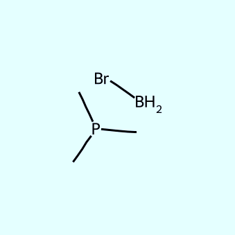 BBr.CP(C)C